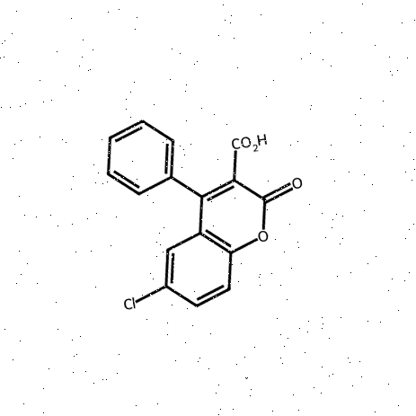 O=C(O)c1c(-c2ccccc2)c2cc(Cl)ccc2oc1=O